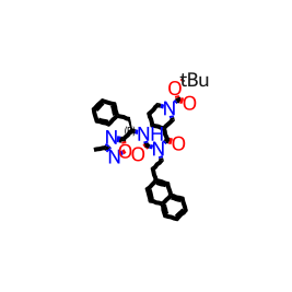 Cc1noc([C@@H](Cc2ccccc2)NC(=O)N(CCc2ccc3ccccc3c2)C(=O)C2CCCN(C(=O)OC(C)(C)C)C2)n1